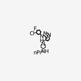 CCCNC1CCN(Cc2ccn3ncnc(Nc4ccc(F)c(Cl)c4)c23)CC1